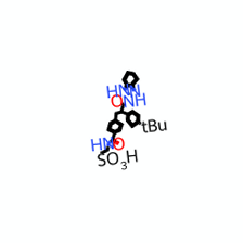 CC(C)(C)c1ccc(C(Cc2ccc(C(=O)NCCS(=O)(=O)O)cc2)C(=O)Nc2nc3ccccc3[nH]2)cc1